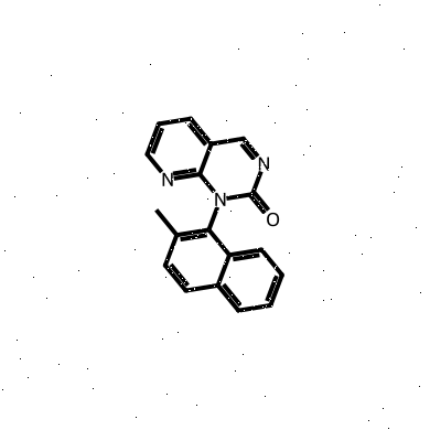 Cc1ccc2ccccc2c1-n1c(=O)ncc2cccnc21